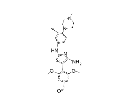 COc1cc(C=O)cc(OC)c1-c1sc(Nc2ccc(N3CCN(C)CC3)c(F)c2)nc1N